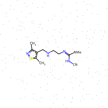 CN/C(=N/CCNCc1c(C)nsc1C)NC#N